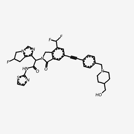 O=C(Nc1nccs1)C(c1ncn2c1CC(F)C2)N1Cc2c(cc(C#Cc3ccc(CN4CCC(CO)CC4)cc3)cc2C(F)F)C1=O